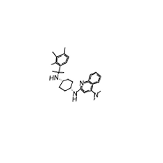 Cc1ccc(C(C)(C)N[C@H]2CC[C@@H](Nc3cc(N(C)C)c4ccccc4n3)CC2)c(C)c1C